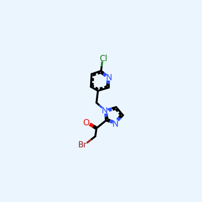 O=C(CBr)c1nccn1Cc1ccc(Cl)nc1